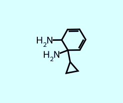 NC1C=CC=CC1(N)C1CC1